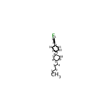 CCCCC[C@H]1CC[C@H](c2ccc(C#CF)cc2)CC1